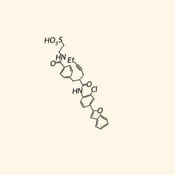 CCC#CCC(Cc1ccc(C(=O)NCCS(=O)(=O)O)cc1)C(=O)Nc1ccc(-c2cc3ccccc3o2)cc1Cl